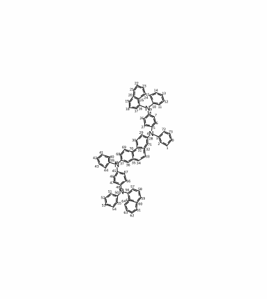 c1ccc(N(c2ccc(N(c3ccccc3)c3cccc4ccccc34)cc2)c2ccc3c(ccc4cc(N(c5ccccc5)c5ccc(N(c6ccccc6)c6cccc7ccccc67)cc5)ccc43)c2)cc1